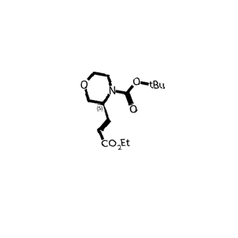 CCOC(=O)C=C[C@H]1COCCN1C(=O)OC(C)(C)C